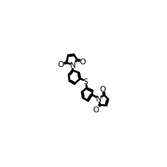 O=C1C=CC(=O)N1c1cccc(Sc2cccc(N3C(=O)C=CC3=O)c2)c1